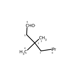 CC(C)CC(C)(C)C[C]=O